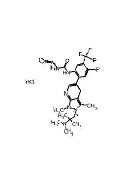 CC1=C2CC(c3cc(F)c(C(F)(F)F)cc3NC(=O)NC=O)=CN=C2N(C)N1OC(C)(C)N(C)C.Cl